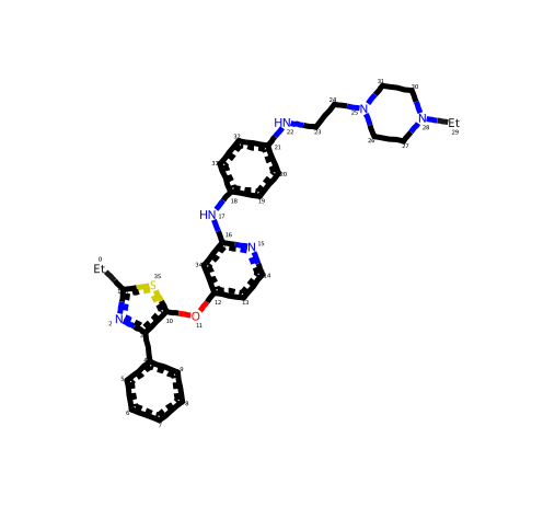 CCc1nc(-c2ccccc2)c(Oc2ccnc(Nc3ccc(NCCN4CCN(CC)CC4)cc3)c2)s1